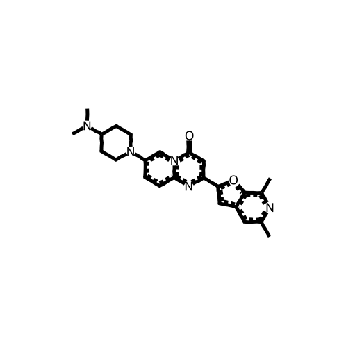 Cc1cc2cc(-c3cc(=O)n4cc(N5CCC(N(C)C)CC5)ccc4n3)oc2c(C)n1